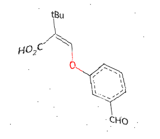 CC(C)(C)C(=COc1cccc(C=O)c1)C(=O)O